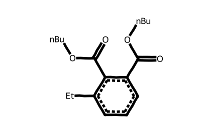 CCCCOC(=O)c1cccc(CC)c1C(=O)OCCCC